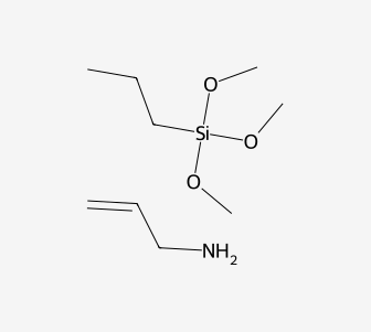 C=CCN.CCC[Si](OC)(OC)OC